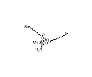 CCC(C)CCCCCCCCCCC(=O)OCC(COP(OC)OCCN)OC(=O)CCCCCCCCCCCC1CC1